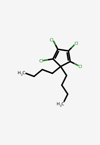 CCCCC1(CCCC)C(Cl)=C(Cl)C(Cl)=C1Cl